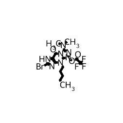 CCCCCN1c2nc(Br)[nH]c2C(=O)N2C(N(C)C)=NN(OC(=O)C(F)(F)F)C21